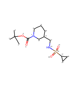 CC(C)(C)OC(=O)N1CCCC(CNS(=O)(=O)C2CC2)C1